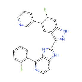 Fc1cc2[nH]nc(-c3nc4c(-c5ccccc5F)nccc4[nH]3)c2cc1-c1cccnc1